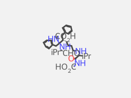 CC(C)C(NCCCC[C@@H](Cc1ccccc1)C(Cc1ccccc1)(NC(=O)O)N[C@H](C=O)C(C)C)C(=O)NC(=O)O